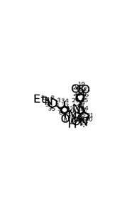 CCN1CCC(c2cc(OC)c(Nc3nc(-c4ccc(S(C)(=O)=O)cc4)cc4c3C(=O)[N]C=C4)cc2C)CC1